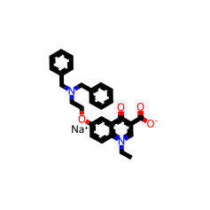 CCn1cc(C(=O)[O-])c(=O)c2cc(OCCN(Cc3ccccc3)Cc3ccccc3)ccc21.[Na+]